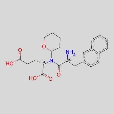 N[C@@H](Cc1ccc2ccccc2c1)C(=O)N(C1CCCCO1)[C@@H](CCC(=O)O)C(=O)O